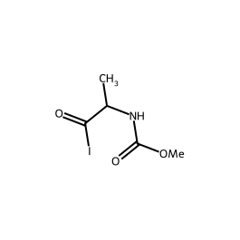 COC(=O)NC(C)C(=O)I